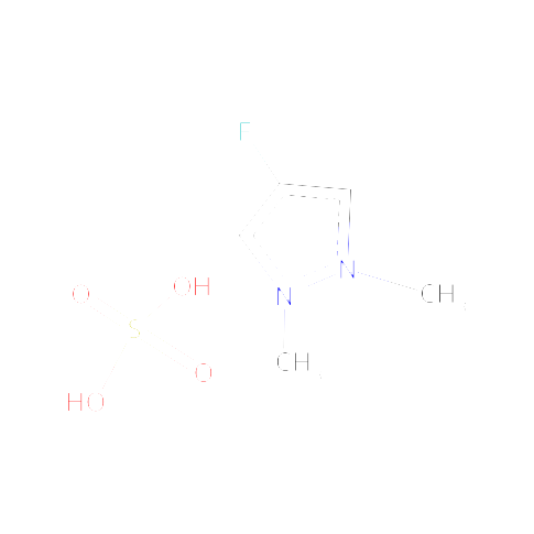 Cn1cc(F)c[n+]1C.O=S(=O)(O)O